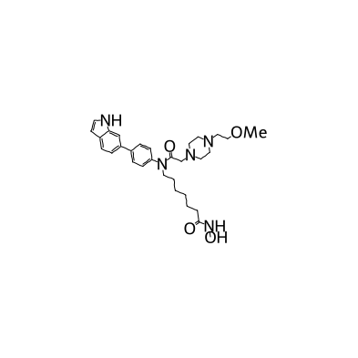 COCCN1CCN(CC(=O)N(CCCCCCC(=O)NO)c2ccc(-c3ccc4cc[nH]c4c3)cc2)CC1